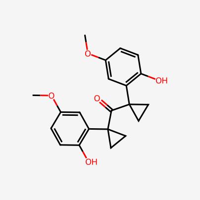 COc1ccc(O)c(C2(C(=O)C3(c4cc(OC)ccc4O)CC3)CC2)c1